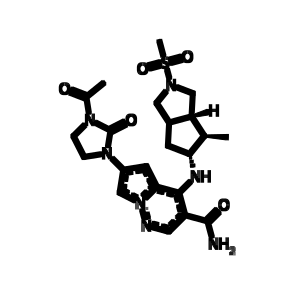 CC(=O)N1CCN(c2cc3c(N[C@@H]4CC5CN(S(C)(=O)=O)C[C@@H]5[C@H]4C)c(C(N)=O)cnn3c2)C1=O